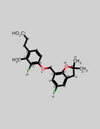 Cc1c(CCC(=O)O)ccc(OCc2cc(F)cc3c2OC(C)(C)C3)c1F